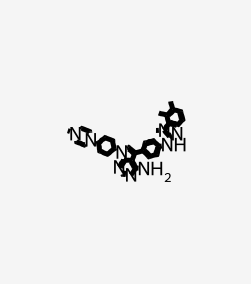 Cc1ccc2nc(Nc3ccc(-c4cn([C@H]5CC[C@@H](N6CCN(C)CC6)CC5)c5ncnc(N)c45)cc3)n(C)c2c1C